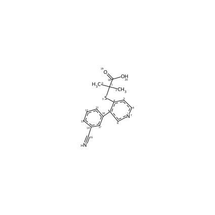 CC(C)(Sc1ccncc1-c1cccc(C#N)c1)C(=O)O